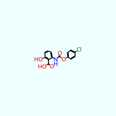 O=C(Nc1cccc(O)c1C(=O)O)Oc1ccc(Cl)cc1